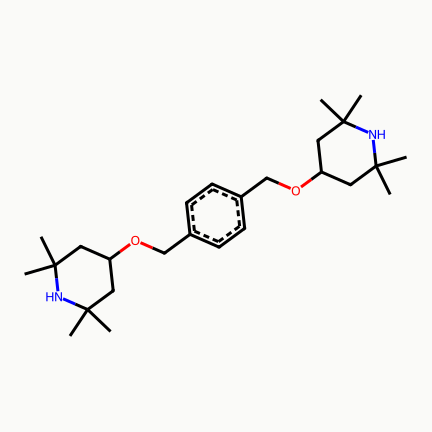 CC1(C)CC(OCc2ccc(COC3CC(C)(C)NC(C)(C)C3)cc2)CC(C)(C)N1